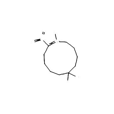 C/[N+]1=C(\[SH](=O)=O)CCCCC(C)(C)CCCC1